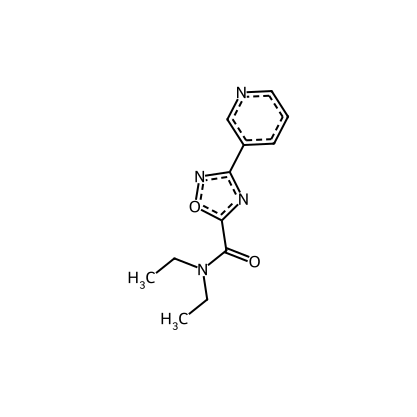 CCN(CC)C(=O)c1nc(-c2cccnc2)no1